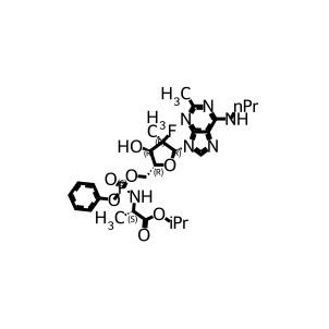 CCCNc1nc(C)nc2c1ncn2[C@@H]1O[C@H](CO[P@@](=O)(N[C@@H](C)C(=O)OC(C)C)Oc2ccccc2)[C@@H](O)[C@@]1(C)F